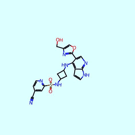 N#Cc1ccnc(S(=O)(=O)NC2CC(Nc3c(-c4nc(CO)co4)cnc4[nH]ccc34)C2)c1